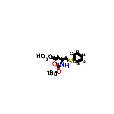 CC(C)(C)OC(=O)NC(/C=C/C(=O)O)CSc1ccccc1